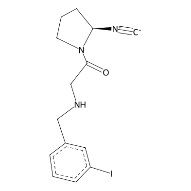 [C-]#[N+][C@@H]1CCCN1C(=O)CNCc1cccc(I)c1